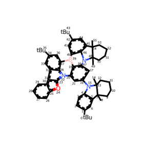 CC(C)(C)c1ccc2c(c1)C1(C)CCCCC1(C)N2c1cc2c3c(c1)-n1c4oc5ccccc5c4c4cc(C(C)(C)C)cc(c41)B3c1cc(C(C)(C)C)cc3c1N2C1(C)CCCCC31C